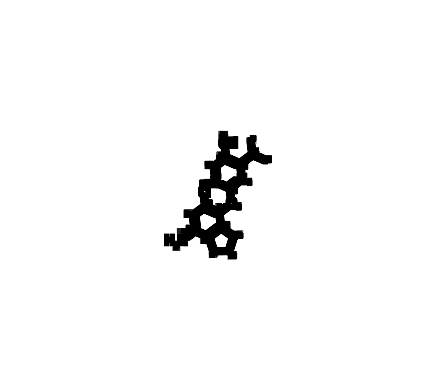 CC(C)c1nc(Oc2c(Cl)cc(N)c3c2CCC3)ncc1O